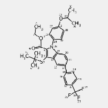 CCOC(=O)c1c(SC(C)(C)C)c2cc(-c3ccc(C(F)(F)F)cn3)ccc2n1-c1ccc(OC(C)C)cc1